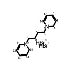 Br.Br.C1=CCN(CCCCN2C=CC=CC2)C=C1